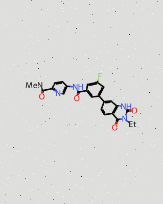 CCn1c(=O)[nH]c2cc(-c3cc(F)cc(C(=O)Nc4ccc(C(=O)NC)nc4)c3)ccc2c1=O